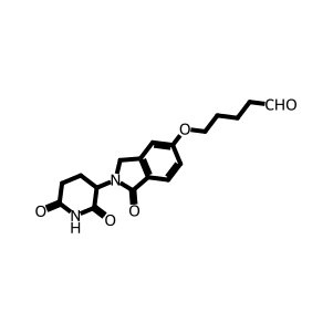 O=CCCCCOc1ccc2c(c1)CN(C1CCC(=O)NC1=O)C2=O